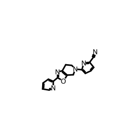 N#Cc1cccc(N2CCc3nc(-c4ccccn4)oc3C2)n1